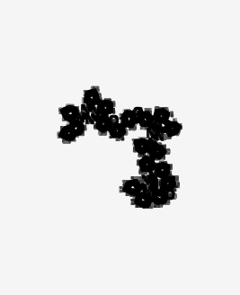 c1ccc(-c2ccccc2-c2nc(-c3ccc4oc5ccc(-c6cccc7c6oc6cc(-c8nc(-c9ccccc9-c9ccccc9)nc(-n9c%10ccccc%10c%10c%11ccccc%11ccc%109)n8)ccc67)cc5c4c3)nc(-n3c4ccccc4c4c(-c5cccc6c5c5ccccc5n6-c5nc(-c6ccccc6-c6ccccc6)nc(-c6cccc7oc8ccccc8c67)n5)cccc43)n2)cc1